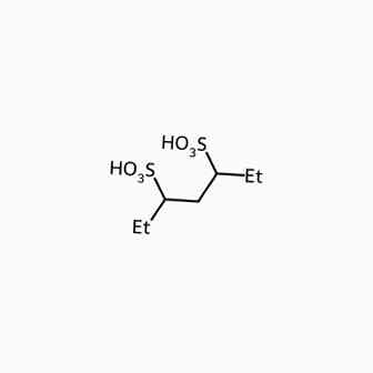 CCC(CC(CC)S(=O)(=O)O)S(=O)(=O)O